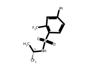 CC(C)c1ccc(S(=O)(=O)N[C@@H](C)C(F)(F)F)c(C(F)(F)F)c1